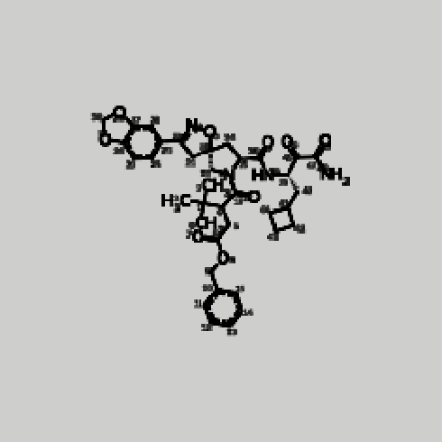 CC(C)(C)[C@H](CC(=O)OCc1ccccc1)C(=O)N1C[C@@]2(CC(c3ccc4c(c3)OCO4)=NO2)C[C@H]1C(=O)N[C@@H](CC1CCC1)C(=O)C(N)=O